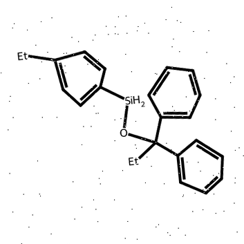 CCc1ccc([SiH2]OC(CC)(c2ccccc2)c2ccccc2)cc1